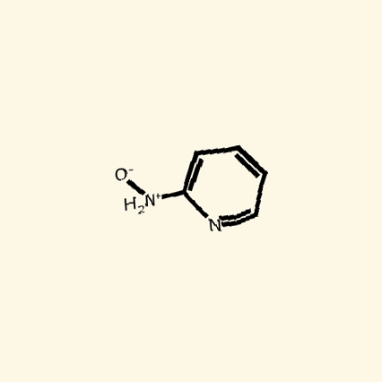 [O-][NH2+]c1ccccn1